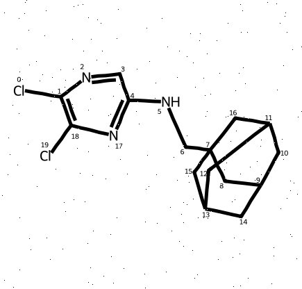 Clc1ncc(NCC23CC4CC(CC(C4)C2)C3)nc1Cl